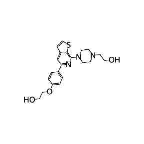 OCCOc1ccc(-c2cc3ccsc3c(N3CCN(CCO)CC3)n2)cc1